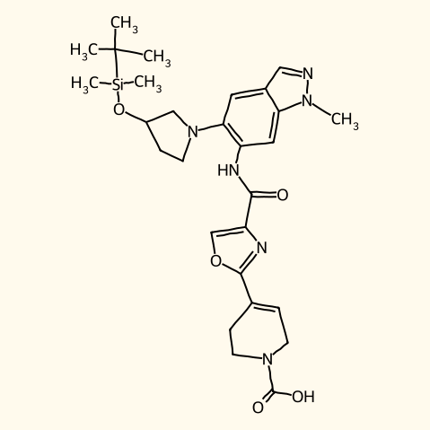 Cn1ncc2cc(N3CCC(O[Si](C)(C)C(C)(C)C)C3)c(NC(=O)c3coc(C4=CCN(C(=O)O)CC4)n3)cc21